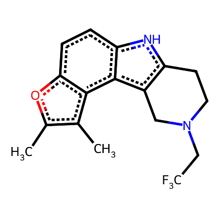 Cc1oc2ccc3[nH]c4c(c3c2c1C)CN(CC(F)(F)F)CC4